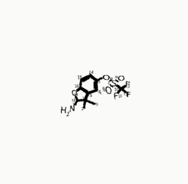 CC1(C)c2cc(OS(=O)(=O)C(F)(F)F)ccc2OC1N